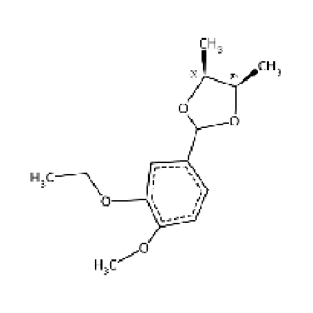 CCOc1cc(C2O[C@@H](C)[C@@H](C)O2)ccc1OC